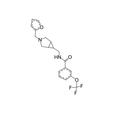 O=C(NCC1C2CN(Cc3ccco3)CC12)c1cccc(OC(F)(F)F)c1